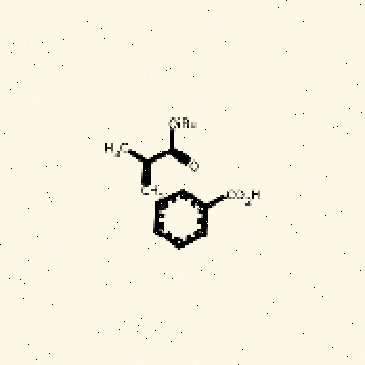 C=C(C)C(=O)OCC(C)C.O=C(O)c1ccccc1